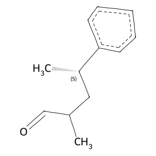 CC(C=O)C[C@H](C)c1ccccc1